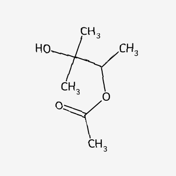 CC(=O)OC(C)C(C)(C)O